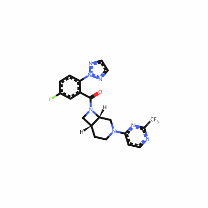 O=C(c1cc(F)ccc1-n1nccn1)N1C[C@H]2CCN(c3ccnc(C(F)(F)F)n3)C[C@H]21